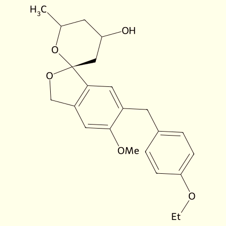 CCOc1ccc(Cc2cc3c(cc2OC)CO[C@@]32CC(O)CC(C)O2)cc1